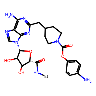 CCNC(=O)[C@H]1O[C@@H](n2cnc3c(N)nc(CC4CCN(C(=O)Oc5ccc(N)cc5)CC4)nc32)C(O)C1O